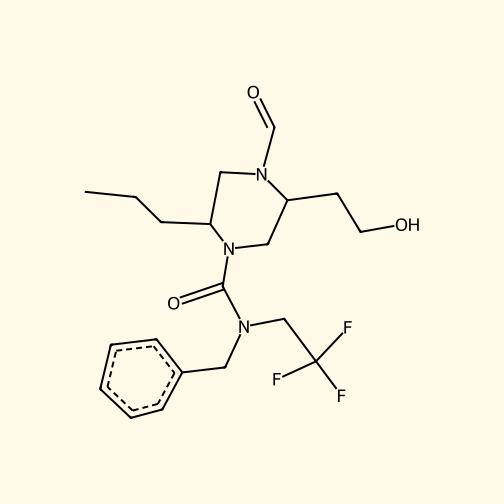 CCCC1CN(C=O)C(CCO)CN1C(=O)N(Cc1ccccc1)CC(F)(F)F